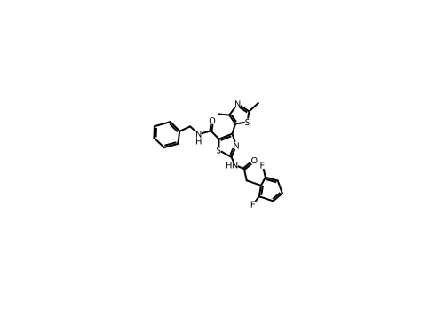 Cc1nc(C)c(-c2nc(NC(=O)Cc3c(F)cccc3F)sc2C(=O)NCc2ccccc2)s1